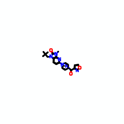 Cn1c(=O)n(CC(C)(C)C)c2ccc(N3CC4CCC3CN4C(=O)c3ccon3)nc21